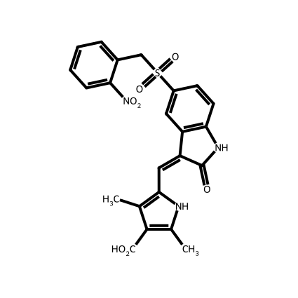 Cc1[nH]c(/C=C2\C(=O)Nc3ccc(S(=O)(=O)Cc4ccccc4[N+](=O)[O-])cc32)c(C)c1C(=O)O